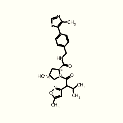 Cc1cc(C(C(=O)N2C[C@H](O)C[C@H]2C(=O)NCc2ccc(-c3scnc3C)cc2)C(C)C)no1